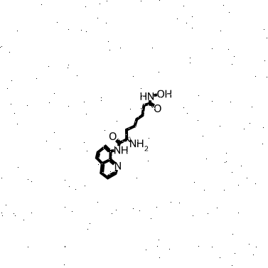 N[C@@H](CCCCCC(=O)NO)C(=O)Nc1cccc2cccnc12